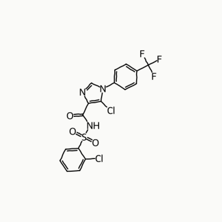 O=C(NS(=O)(=O)c1ccccc1Cl)c1ncn(-c2ccc(C(F)(F)F)cc2)c1Cl